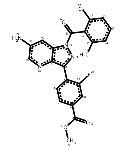 COC(=O)c1ccc(-c2nn(C(=O)c3c(C)cccc3Cl)c3cc(N)cnc23)c(F)c1